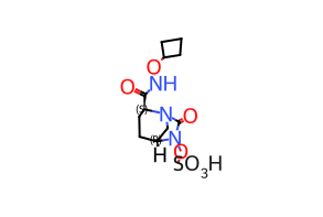 O=C(NOC1CCC1)[C@@H]1CC[C@@H]2CN1C(=O)N2OS(=O)(=O)O